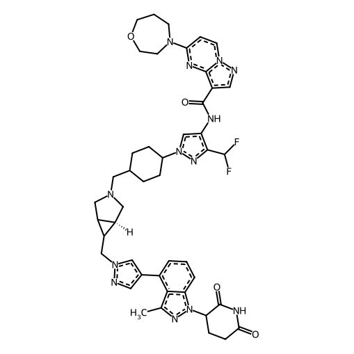 Cc1nn(C2CCC(=O)NC2=O)c2cccc(-c3cnn(CC4C5CN(CC6CCC(n7cc(NC(=O)c8cnn9ccc(N%10CCCOCC%10)nc89)c(C(F)F)n7)CC6)C[C@H]54)c3)c12